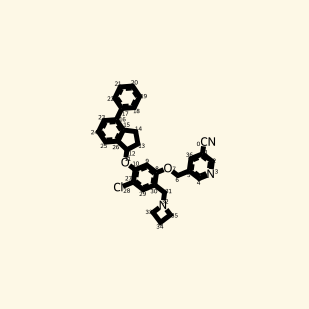 N#Cc1cncc(COc2cc(OC3CCc4c(-c5ccccc5)cccc43)c(Cl)cc2CN2CCC2)c1